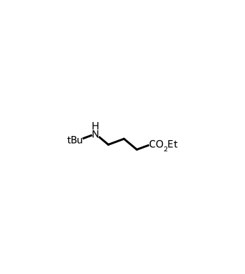 CCOC(=O)CCCNC(C)(C)C